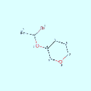 CC(C)C(Br)OC1CCCOC1